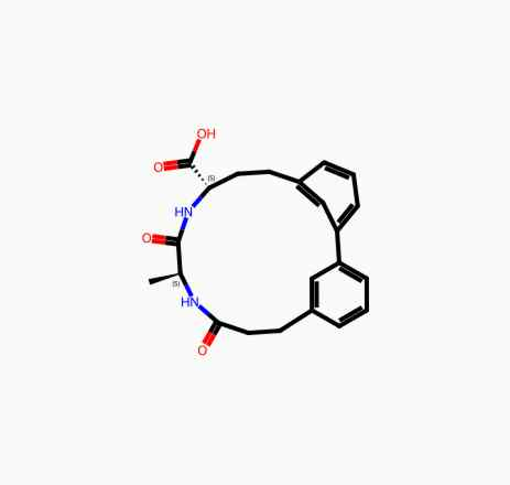 C[C@@H]1NC(=O)CCc2cccc(c2)-c2cccc(c2)CC[C@@H](C(=O)O)NC1=O